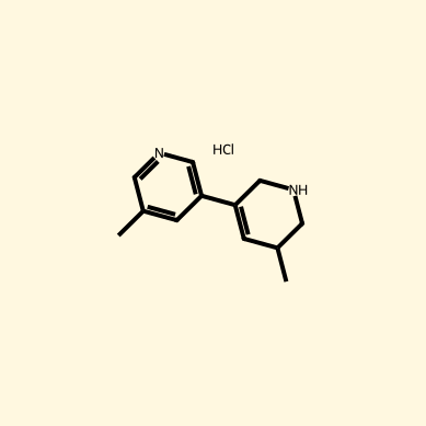 Cc1cncc(C2=CC(C)CNC2)c1.Cl